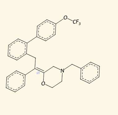 FC(F)(F)Oc1ccc(-c2ccccc2C/C(=C2\CN(Cc3ccccc3)CCO2)c2ccccc2)cc1